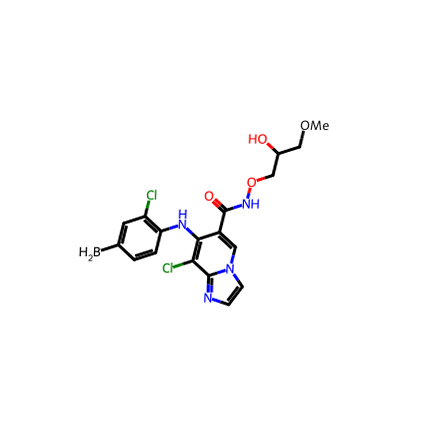 Bc1ccc(Nc2c(C(=O)NOCC(O)COC)cn3ccnc3c2Cl)c(Cl)c1